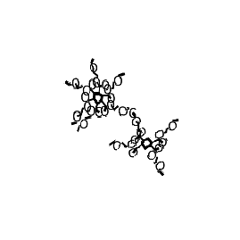 C=COCCOC(=O)c1cc(C(=O)OCCOC=C)c(C(=O)OCCOC=C=COCCOC(=O)c2c(C(=O)OCCOC=C)c(C(=O)OCCOC=C)c(C(=O)OCCOC=C)c(C(=O)OCCOC=C)c2C(=O)OCCOC=C)cc1C(=O)OCCOC=C